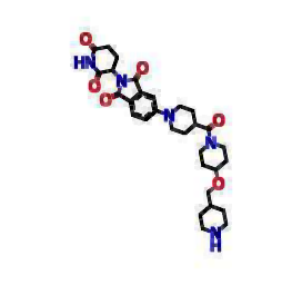 O=C1CCC(N2C(=O)c3ccc(N4CCC(C(=O)N5CCC(OCC6CCNCC6)CC5)CC4)cc3C2=O)C(=O)N1